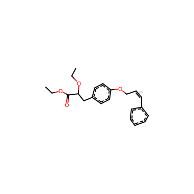 CCOC(=O)C(Cc1ccc(OC/C=C\c2ccccc2)cc1)OCC